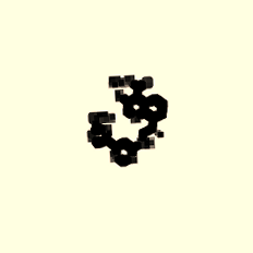 CNC(=O)c1c(F)cnc2c([C@H](C)CNc3cc(-c4csc(OC)n4)ncn3)cccc12